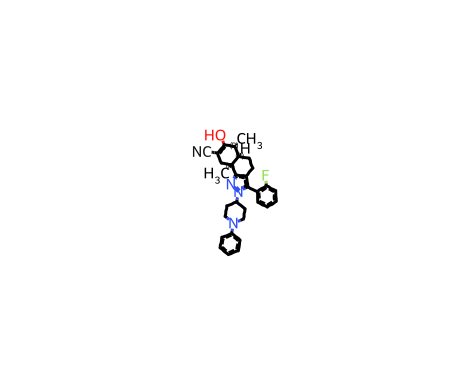 C[C@H]1C(O)=C(C#N)C[C@@]2(C)c3nn(C4CCN(c5ccccc5)CC4)c(-c4ccccc4F)c3CC[C@H]12